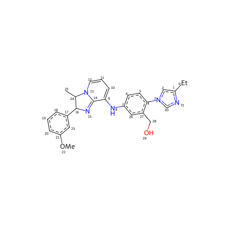 CCc1cn(-c2ccc(NC3=CC=CN4C3=NC(c3cccc(OC)c3)C4C)cc2CO)cn1